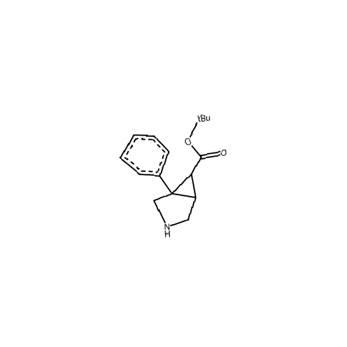 CC(C)(C)OC(=O)C1C2CNCC21c1ccccc1